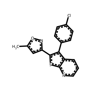 Cc1cc(-c2sc3ncccc3c2-c2ccc(Cl)cc2)no1